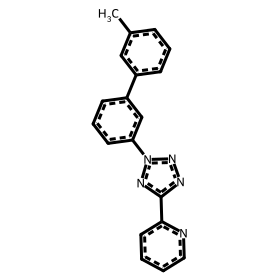 Cc1cccc(-c2cccc(-n3nnc(-c4ccccn4)n3)c2)c1